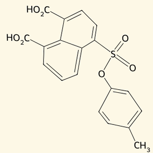 Cc1ccc(OS(=O)(=O)c2ccc(C(=O)O)c3c(C(=O)O)cccc23)cc1